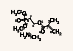 C=C(C)C(=O)OCCP(=O)(OC)OC.CN